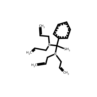 C=CCN(CC=C)C([SiH3])(c1ccccc1)N(CC=C)CC=C